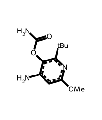 COc1cc(N)c(OC(N)=O)c(C(C)(C)C)n1